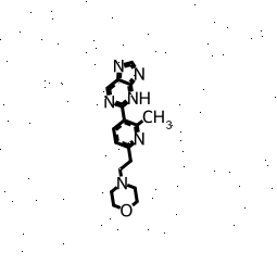 Cc1nc(CCN2CCOCC2)ccc1-c1ncc2ncnc-2[nH]1